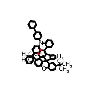 CC(C)(C)c1ccc2c(c1)C1(c3cc(C(C)(C)C)ccc3O2)c2ccccc2-c2c(-c3ccccc3N(c3ccc(-c4ccccc4)cc3)c3ccc(-c4ccccc4)cc3)cccc21